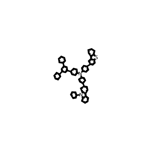 c1ccc(-c2cc(-c3ccccc3)cc(-c3ccc(N(c4ccc(-c5ccc6sc7ccccc7c6c5)cc4)c4ccc(-c5ccc6c7ccccc7n(-c7ccccc7)c6c5)cc4)cc3)c2)cc1